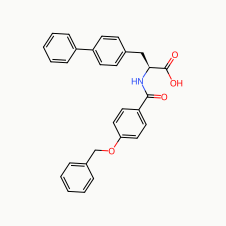 O=C(N[C@@H](Cc1ccc(-c2ccccc2)cc1)C(=O)O)c1ccc(OCc2ccccc2)cc1